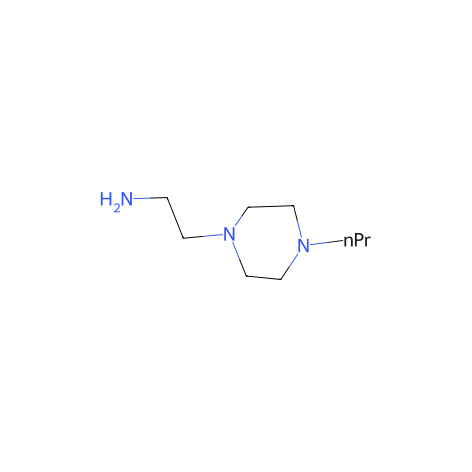 CCCN1CCN(CCN)CC1